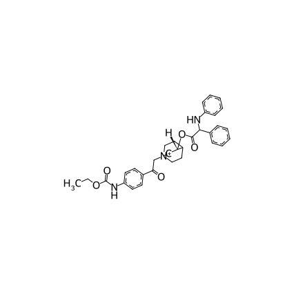 CCOC(=O)Nc1ccc(C(=O)C[N+]23CCC(CC2)[C@@H](OC(=O)C(Nc2ccccc2)c2ccccc2)C3)cc1